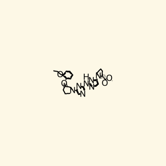 CCOc1ccccc1O[C@@H]1CCCN(c2cncc(Nc3nccc(N4CCC[C@H]4C(=O)OC)n3)n2)C1